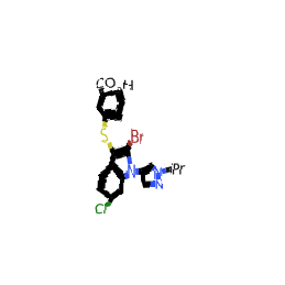 CC(C)n1cc(-n2c(Br)c(Sc3cccc(C(=O)O)c3)c3ccc(Cl)cc32)cn1